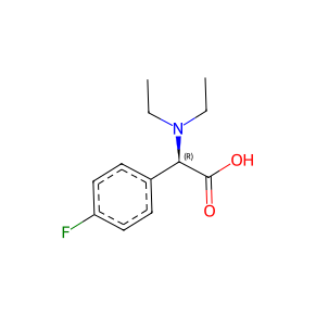 CCN(CC)[C@@H](C(=O)O)c1ccc(F)cc1